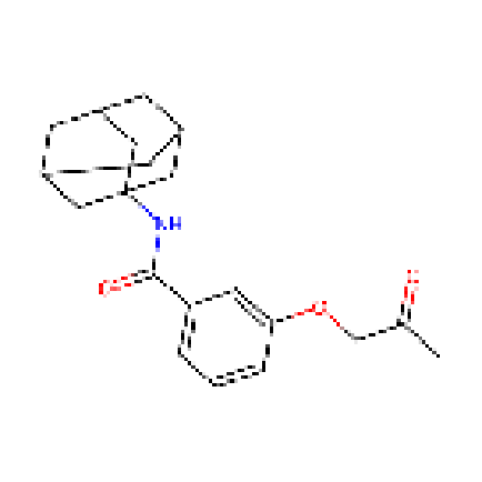 CC(=O)COc1cccc(C(=O)NC23CC4CC(CC(C4)C2)C3)c1